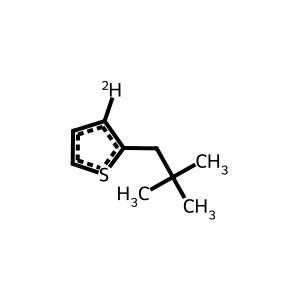 [2H]c1ccsc1CC(C)(C)C